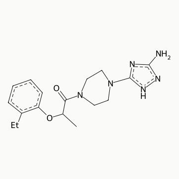 CCc1ccccc1OC(C)C(=O)N1CCN(c2nc(N)n[nH]2)CC1